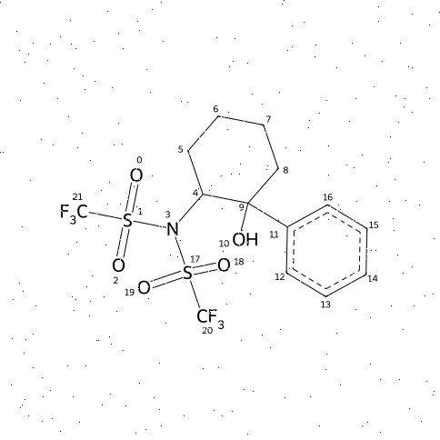 O=S(=O)(N(C1CCCCC1(O)c1ccccc1)S(=O)(=O)C(F)(F)F)C(F)(F)F